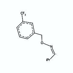 CC(C)/[C]=N\OCc1cccc(C(F)(F)F)c1